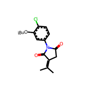 CC(C)=C1CC(=O)N(c2ccc(Cl)c(OCC(C)C)c2)C1=O